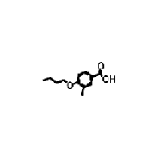 CCCCOc1ccc(C(=O)O)cc1C